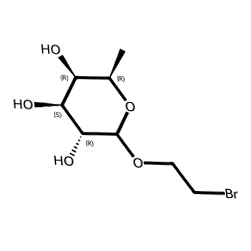 C[C@H]1OC(OCCBr)[C@H](O)[C@@H](O)[C@H]1O